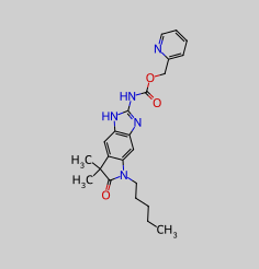 CCCCCN1C(=O)C(C)(C)c2cc3[nH]c(NC(=O)OCc4ccccn4)nc3cc21